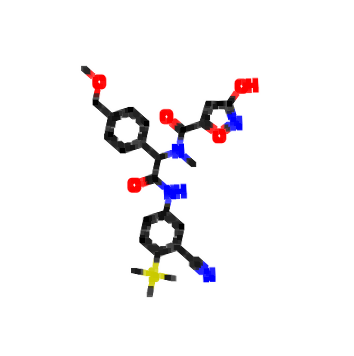 COCc1ccc(C(C(=O)Nc2ccc(S(C)(C)C)c(C#N)c2)N(C)C(=O)c2cc(O)no2)cc1